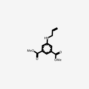 C=CCNc1cc(C(=O)OC)cc(C(=O)OC)c1